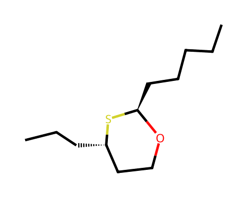 CCCCC[C@H]1OCC[C@H](CCC)S1